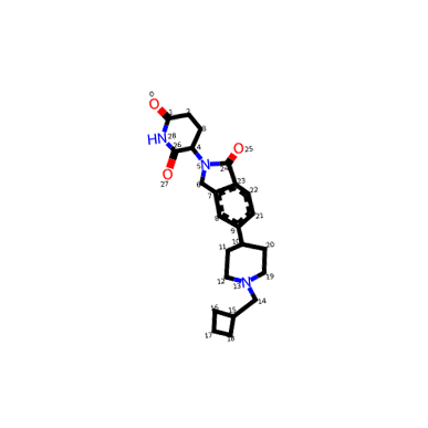 O=C1CCC(N2Cc3cc(C4CCN(CC5CCC5)CC4)ccc3C2=O)C(=O)N1